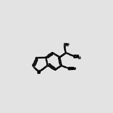 COc1cc2occc2cc1C(C)C(C)C